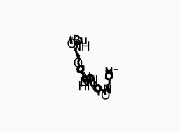 Cc1cc(Nc2nccn3c(-c4ccc(OCC#CCNC(=O)OC(C)(C)C)cc4)cnc23)ccc1C(=O)N(C)CCC1CC[N+](C)(C)CC1.[I-]